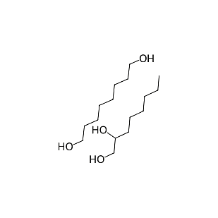 CCCCCCC(O)CO.OCCCCCCCCO